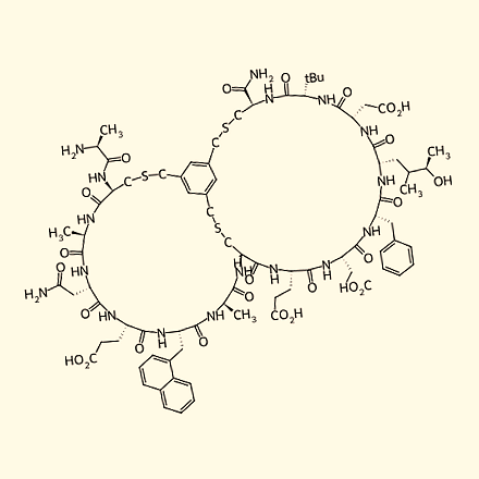 CC(C[C@@H]1NC(=O)[C@H](Cc2ccccc2)NC(=O)[C@H](CC(=O)O)NC(=O)[C@H](CCC(=O)O)NC(=O)[C@H]2CSCc3cc(cc(c3)CSC[C@H](NC(=O)[C@H](C)N)C(=O)N[C@H](C)C(=O)N[C@@H](CC(N)=O)C(=O)N[C@@H](CCC(=O)O)C(=O)N[C@@H](Cc3cccc4ccccc34)C(=O)N[C@H](C)C(=O)N2)CSC[C@@H](C(N)=O)NC(=O)[C@H](C(C)(C)C)NC(=O)[C@H](CC(=O)O)NC1=O)[C@@H](C)O